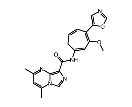 COC1=C(c2cnco2)C=CCC(NC(=O)c2ncn3c(C)cc(C)nc23)=C1